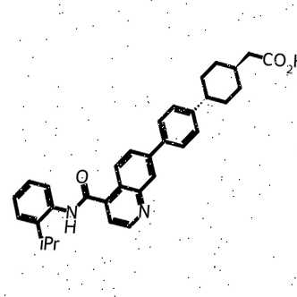 CC(C)c1ccccc1NC(=O)c1ccnc2cc(-c3ccc([C@H]4CC[C@H](CC(=O)O)CC4)cc3)ccc12